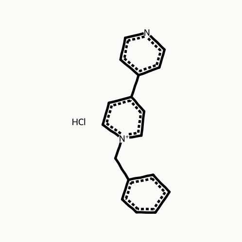 Cl.c1ccc(C[n+]2ccc(-c3ccncc3)cc2)cc1